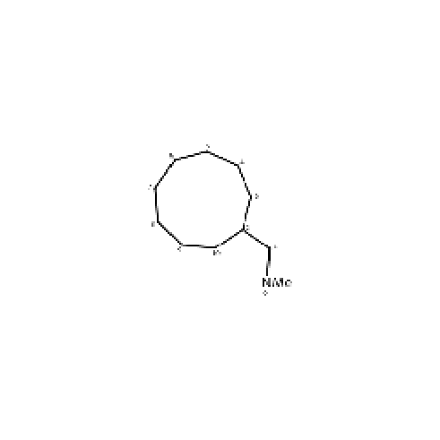 CNCC1CCCCCCCC1